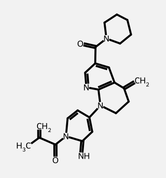 C=C(C)C(=O)n1ccc(N2CCC(=C)c3cc(C(=O)N4CCCCC4)cnc32)cc1=N